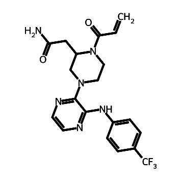 C=CC(=O)N1CCN(c2nccnc2Nc2ccc(C(F)(F)F)cc2)CC1CC(N)=O